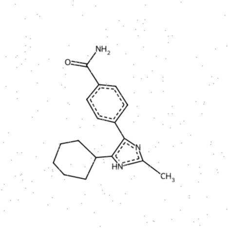 Cc1nc(-c2ccc(C(N)=O)cc2)c(C2CCCCC2)[nH]1